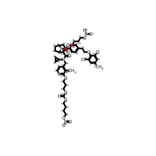 Cc1cc(Cl)c(OCCc2ccc(C3=C(C(=O)N(Cc4ccnc(OCCCOC(=O)OCCCCO[N+](=O)[O-])c4C)C4CC4)C4CCC(C3)N4C(=O)OCCCCO[N+](=O)[O-])cc2)c(Cl)c1